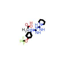 CC(=O)O.N=C(NC(=N)N1CCCCC1)Nc1ccc(OC(F)(F)F)cc1